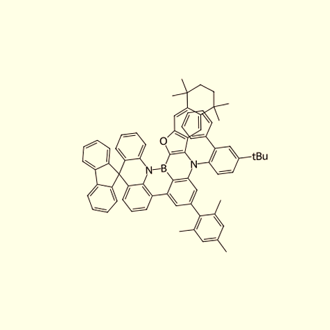 Cc1cc(C)c(-c2cc3c4c(c2)N(c2ccc(C(C)(C)C)cc2-c2ccccc2)c2c(oc5cc6c(cc25)C(C)(C)CCC6(C)C)B4N2c4ccccc4C4(c5ccccc5-c5ccccc54)c4cccc-3c42)c(C)c1